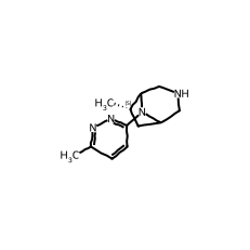 Cc1ccc(N2C3CNCC2[C@@H](C)C3)nn1